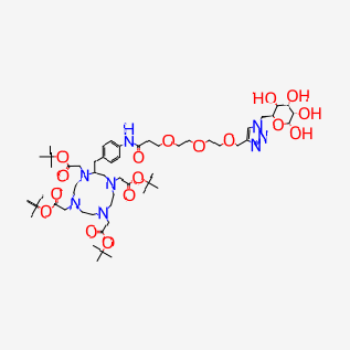 CC(C)(C)OC(=O)CN1CCN(CC(=O)OC(C)(C)C)CCN(CC(=O)OC(C)(C)C)C(Cc2ccc(NC(=O)CCOCCOCCOCc3cn(C[C@@H]4O[C@@H](O)[C@@H](O)[C@@H](O)[C@@H]4O)nn3)cc2)CN(CC(=O)OC(C)(C)C)CC1